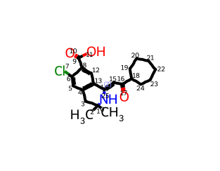 CC1(C)Cc2cc(Cl)c(C(=O)O)cc2/C(=C/C(=O)C2CCCCCC2)N1